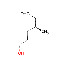 C[C@H](CC=O)CCCO